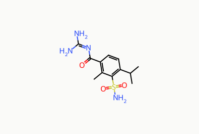 Cc1c(C(=O)N=C(N)N)ccc(C(C)C)c1S(N)(=O)=O